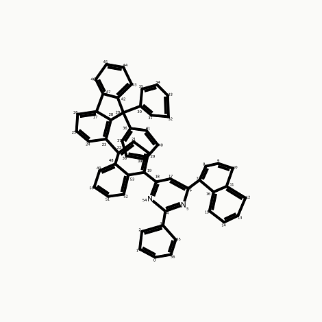 c1ccc(-c2nc(-c3cccc4ccccc34)cc(-c3ccc(-c4cccc5c4C(c4ccccc4)(c4ccccc4)c4ccccc4-5)c4ccccc34)n2)cc1